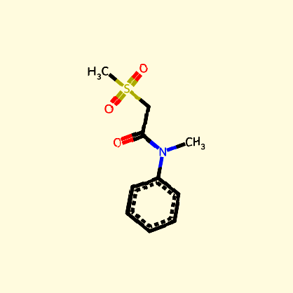 CN(C(=O)CS(C)(=O)=O)c1ccccc1